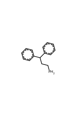 PCCC(c1ccccc1)c1ccccc1